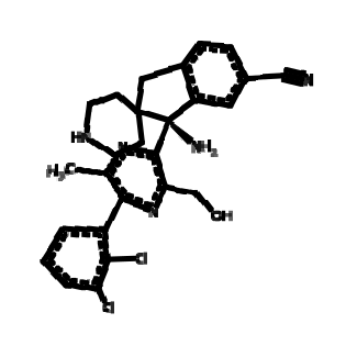 Cc1nc([C@@]2(N)c3cc(C#N)ccc3CC23CCNCC3)c(CO)nc1-c1cccc(Cl)c1Cl